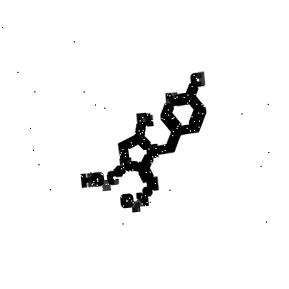 CCC1CN(C(=O)O)C(=N[N+](=O)[O-])N1Cc1ccc(Cl)nc1